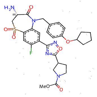 COC(=O)N1CCC(c2nc(-c3cc4c(cc3F)S(=O)(=O)C[C@H](N)C(=O)N4Cc3ccc(OC4CCCC4)cc3)no2)C1